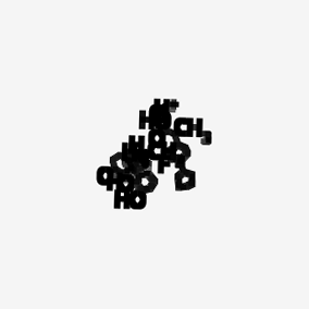 CC(C(=O)O)c1ccc(-c2ccccc2)c(F)c1.CN1CC[C@]23c4c5ccc(O)c4O[C@H]2C(=O)CC[C@H]3[C@H]1C5.[Cl-].[H+]